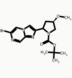 CO[C@@H]1CC(c2cn3cc(Br)ncc3n2)N(C(=O)OC(C)(C)C)C1